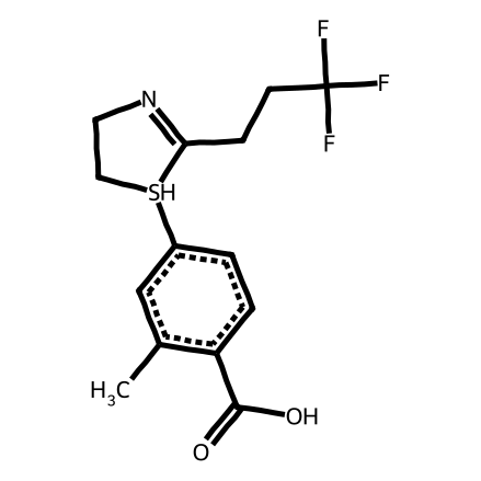 Cc1cc([SH]2CCN=C2CCC(F)(F)F)ccc1C(=O)O